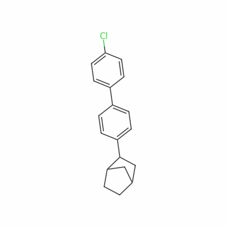 Clc1ccc(-c2ccc(C3CC4CCC3C4)cc2)cc1